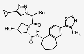 Cc1ncsc1-c1ccc2c(c1)CCCC[C@@H]2NC(=O)[C@@H]1C[C@@H](O)CN1C(=O)[C@@H](n1cc(C2CC2)nn1)C(C)(C)C